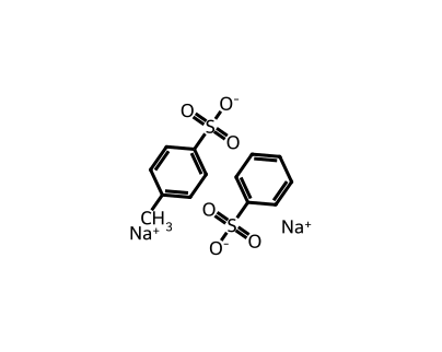 Cc1ccc(S(=O)(=O)[O-])cc1.O=S(=O)([O-])c1ccccc1.[Na+].[Na+]